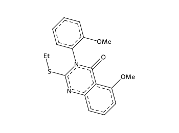 CCSc1nc2cccc(OC)c2c(=O)n1-c1ccccc1OC